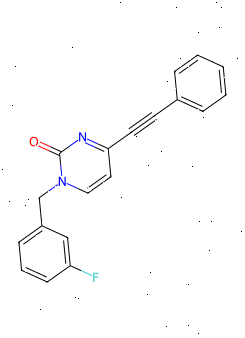 O=c1nc(C#Cc2ccccc2)ccn1Cc1cccc(F)c1